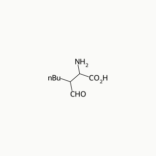 CCCCC(C=O)C(N)C(=O)O